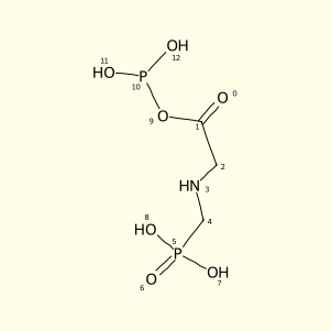 O=C(CNCP(=O)(O)O)OP(O)O